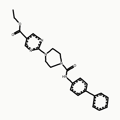 CCOC(=O)c1cnc(N2CCN(C(=O)Nc3ccc(-c4ccccc4)cc3)CC2)nc1